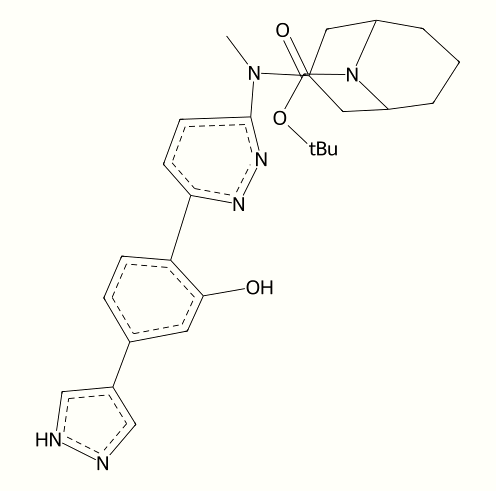 CN(c1ccc(-c2ccc(-c3cn[nH]c3)cc2O)nn1)C1CC2CCCC(C1)N2C(=O)OC(C)(C)C